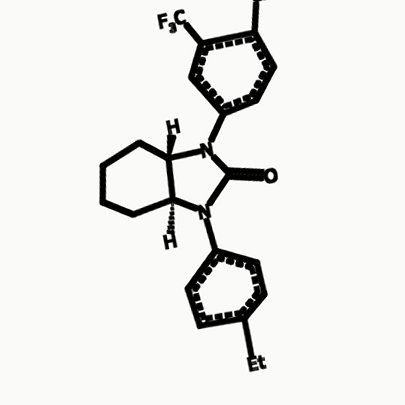 CCc1ccc(N2C(=O)N(c3ccc(C#N)c(C(F)(F)F)c3)[C@H]3CCCC[C@@H]32)cc1